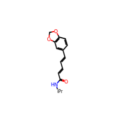 CC(C)NC(=O)C=CC=Cc1ccc2c(c1)OCO2